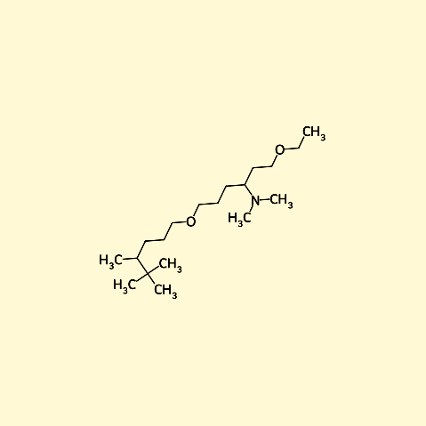 CCOCCC(CCCOCCCC(C)C(C)(C)C)N(C)C